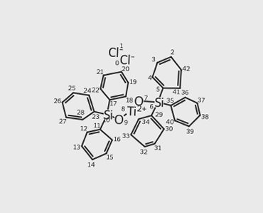 [Cl-].[Cl-].c1ccc([Si]([O][Ti+2][O][Si](c2ccccc2)(c2ccccc2)c2ccccc2)(c2ccccc2)c2ccccc2)cc1